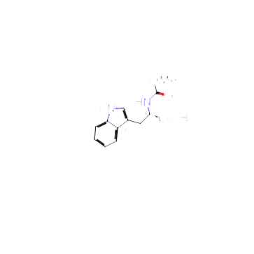 COC(=O)N[C@H](Cc1c[nH]c2ccccc12)C(=O)O